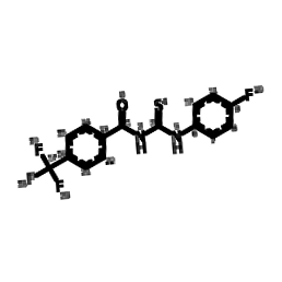 O=C(NC(=S)Nc1ccc(F)cc1)c1ccc(C(F)(F)F)cc1